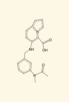 CC(=O)N(C)c1cccc(CNc2ccc3cccn3c2C(=O)O)c1